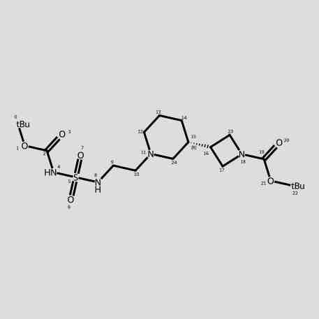 CC(C)(C)OC(=O)NS(=O)(=O)NCCN1CCC[C@H](C2CN(C(=O)OC(C)(C)C)C2)C1